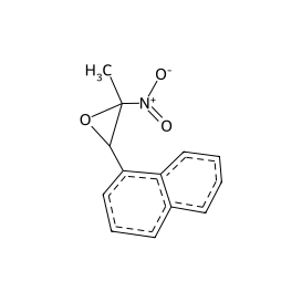 CC1([N+](=O)[O-])OC1c1cccc2ccccc12